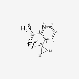 NC(=O)c1ncccc1C1(C(F)(F)F)CC1